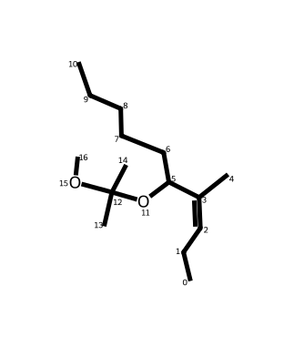 CCC=C(C)C(CCCCC)OC(C)(C)OC